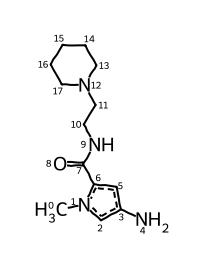 Cn1cc(N)cc1C(=O)NCCN1CCCCC1